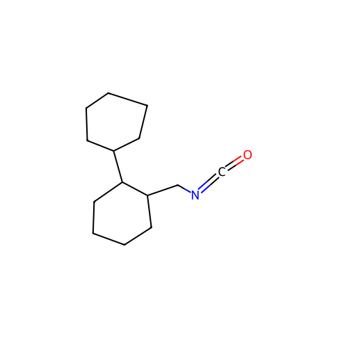 O=C=NCC1CCCCC1C1CCCCC1